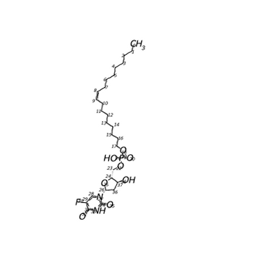 CCCCCCCC/C=C\CCCCCCCCOP(=O)(O)OC[C@H]1O[C@@H](n2cc(F)c(=O)[nH]c2=O)C[C@@H]1O